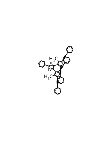 Cc1c(C#Cc2ccccc2)sc(C#Cc2ccccc2)c1-c1nc(-c2ccccc2)sc1-c1c(C#Cc2ccccc2)sc(C#Cc2ccccc2)c1C